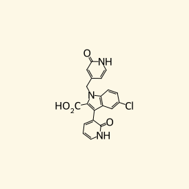 O=C(O)c1c(-c2ccc[nH]c2=O)c2cc(Cl)ccc2n1Cc1cc[nH]c(=O)c1